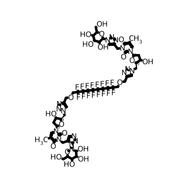 Cc1cn([C@H]2CC(O)[C@@H](Cn3cc(COCC(F)(F)C(F)(F)C(F)(F)C(F)(F)C(F)(F)C(F)(F)C(F)(F)C(F)(F)COCc4cn(C[C@H]5O[C@@H](n6cc(C)c(=O)n(Cc7cnnn7N7OC(CO)C(O)C(O)C7O)c6=O)CC5O)nn4)nn3)O2)c(=O)n(Cc2cn(C3OC(CO)C(O)C(O)C3O)nn2)c1=O